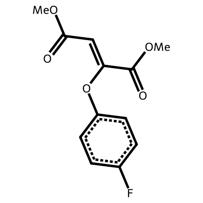 COC(=O)/C=C(\Oc1ccc(F)cc1)C(=O)OC